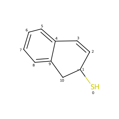 S[C]1C=Cc2ccccc2C1